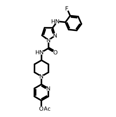 CC(=O)Oc1ccc(N2CCC(NC(=O)n3ccc(Nc4ccccc4F)n3)CC2)nc1